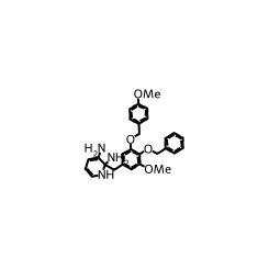 COc1ccc(COc2cc(CC3(N)NC=CC=C3N)cc(OC)c2OCc2ccccc2)cc1